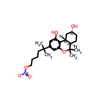 CC(C)(CCCCO[N+](=O)[O-])c1cc(O)c2c(c1)OC(C)(C)[C@@H]1CC[C@@H](O)C[C@@H]21